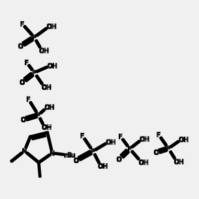 CCCCN1C=CN(C)C1C.O=P(O)(O)F.O=P(O)(O)F.O=P(O)(O)F.O=P(O)(O)F.O=P(O)(O)F.O=P(O)(O)F